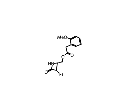 CC[C@H]1C(=O)N[C@H]1COC(=O)Cc1ccccc1OC